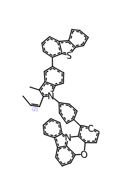 C/C=C\c1c(C)c2cc(-c3cccc4c3sc3ccccc34)ccc2n1-c1ccc(-c2cccc3c2-n2c4ccccc4c4cccc(c42)O3)cc1